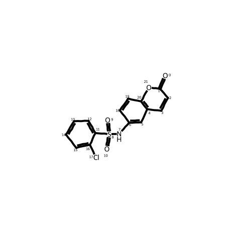 O=c1ccc2cc(NS(=O)(=O)c3ccccc3Cl)ccc2o1